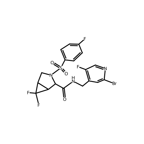 O=C(NCc1cc(Br)ncc1F)C1C2C(CN1S(=O)(=O)c1ccc(F)cc1)C2(F)F